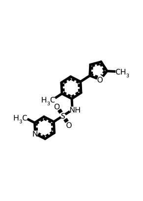 Cc1cc(S(=O)(=O)Nc2cc(-c3ccc(C)o3)ccc2C)ccn1